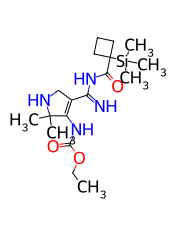 CCOC(=O)NC1=C(C(=N)NC(=O)C2([Si](C)(C)C)CCC2)CNC1(C)C